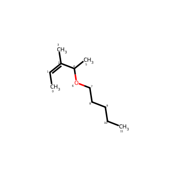 CC=C(C)C(C)OCCCCC